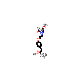 CCCCOCCN(CCCOc1ccc(CC(OC(C)C)C(=O)O)cc1)C(=O)OCC(C)C